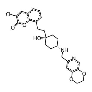 O=c1oc2c(CC[C@]3(O)CC[C@H](NCc4cc5c(cn4)OCCO5)CC3)cccc2cc1Cl